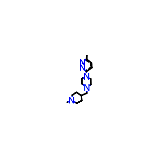 Cc1ccc(N2CCN(CC3CCN(C)CC3)CC2)nn1